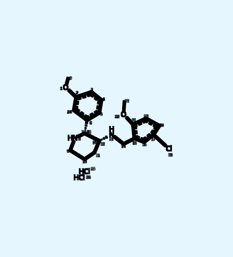 COc1cccc([C@H]2NCCC[C@H]2NCc2cc(Cl)ccc2OC)c1.Cl.Cl